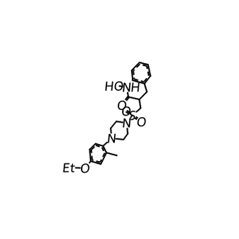 CCOc1ccc(N2CCN(S(=O)(=O)CC(Cc3ccccc3)C(=O)NO)CC2)c(C)c1